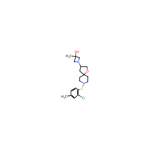 Cc1ccc(SN2CCC3(CC2)CC(N2CC(C)(O)C2)CO3)c(Cl)c1